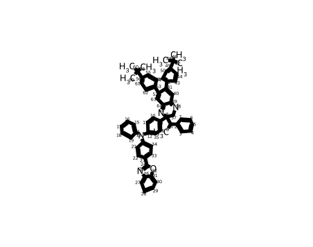 CC(c1ccccc1)C1(c2ccc(N(c3ccccc3)c3ccc(-c4nc5ccccc5o4)cc3)cc2)CN=c2cc(-c3ccc(C(C)(C)C)cc3)c(-c3ccc(C(C)(C)C)cc3)cc2=N1